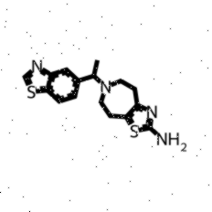 CC(c1ccc2scnc2c1)N1CCc2nc(N)sc2CC1